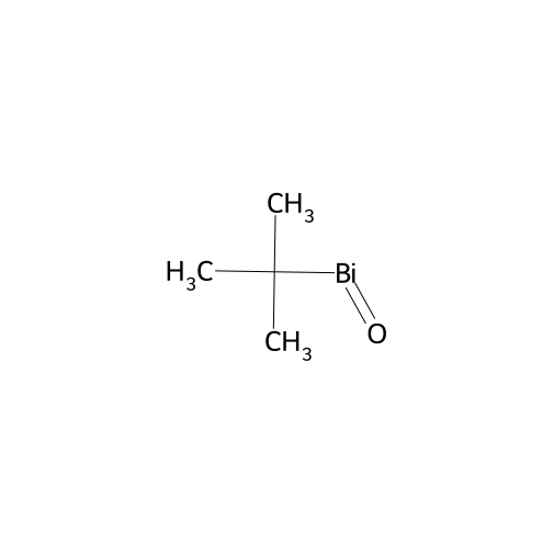 C[C](C)(C)[Bi]=[O]